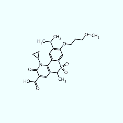 COCCCOc1cc2c(cc1C(C)C)-c1c(cc(C(=O)O)c(=O)n1C1CC1)C(C)S2(=O)=O